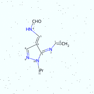 C=C/N=C1\C(=C\NC=O)C=NN1C(C)C